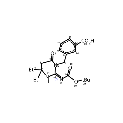 CCC1(CC)CC(=O)N(Cc2cccc(C(=O)O)c2)/C(=N\C(=O)OC(C)(C)C)N1